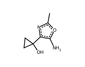 Cc1nc(C2(O)CC2)c(N)o1